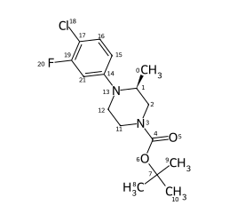 C[C@H]1CN(C(=O)OC(C)(C)C)CCN1c1ccc(Cl)c(F)c1